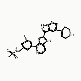 CS(=O)(=O)NCc1cc(F)cc(-c2nccc3[nH]c(-c4n[nH]c5ncc(C6=CCNCC6)cc45)cc23)c1